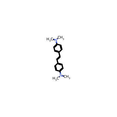 CN(C)c1ccc([C]=Cc2ccc(N(C)C)cc2)cc1